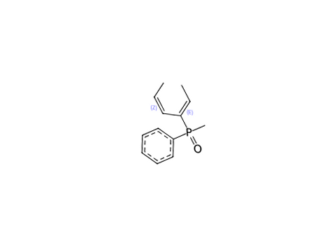 C/C=C\C(=C/C)P(C)(=O)c1ccccc1